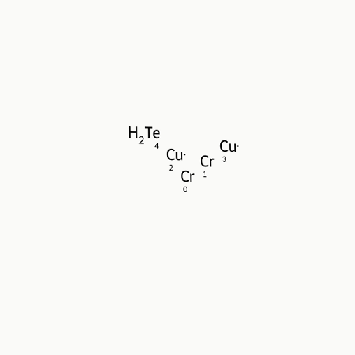 [Cr].[Cr].[Cu].[Cu].[TeH2]